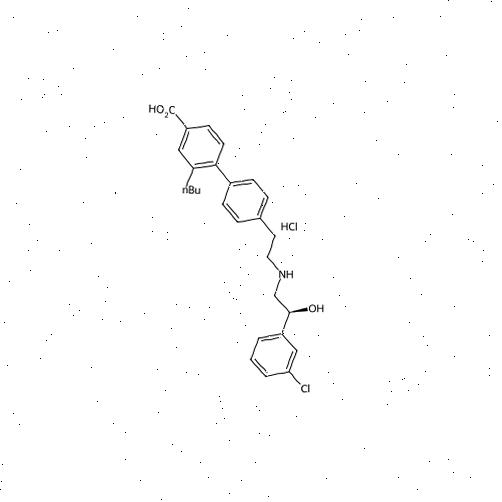 CCCCc1cc(C(=O)O)ccc1-c1ccc(CCNC[C@@H](O)c2cccc(Cl)c2)cc1.Cl